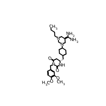 CCCCN1CC(=C(N)N)CN(C2CCC(C[C@H]3CC(=O)N(Cc4ccc(OC)c(OC)c4)C(=O)N3)CC2)C1